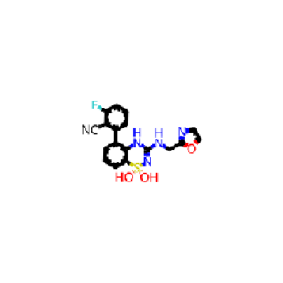 N#Cc1c(F)cccc1-c1cccc2c1NC(NCc1ncco1)=NS2(O)O